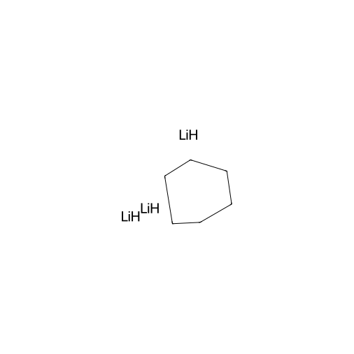 C1CCCCC1.[LiH].[LiH].[LiH]